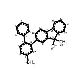 Bc1ccc(-c2ccccc2)c(-c2ccc3c(c2)C(C)(C)c2ccccc2-3)c1